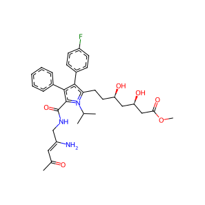 COC(=O)C[C@H](O)C[C@H](O)CCc1c(-c2ccc(F)cc2)c(-c2ccccc2)c(C(=O)NC/C(N)=C/C(C)=O)n1C(C)C